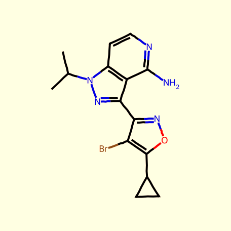 CC(C)n1nc(-c2noc(C3CC3)c2Br)c2c(N)nccc21